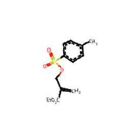 C=C(COS(=O)(=O)c1ccc(C)cc1)C(=O)OCC